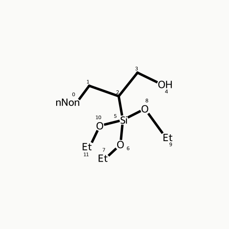 CCCCCCCCCCC(CO)[Si](OCC)(OCC)OCC